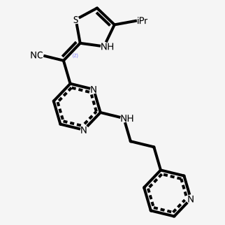 CC(C)C1=CS/C(=C(\C#N)c2ccnc(NCCc3cccnc3)n2)N1